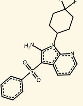 Nc1c(S(=O)(=O)c2ccccc2)c2cccnc2n1C1CCC(F)(F)CC1